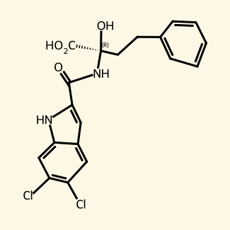 O=C(N[C@@](O)(CCc1ccccc1)C(=O)O)c1cc2cc(Cl)c(Cl)cc2[nH]1